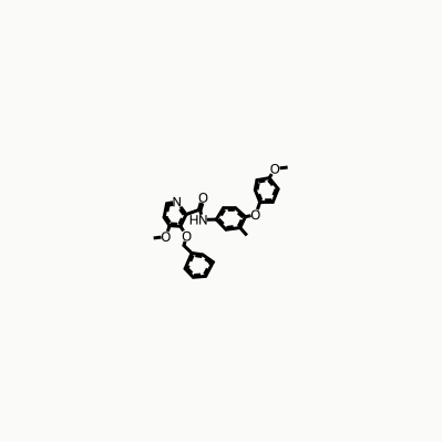 COc1ccc(Oc2ccc(NC(=O)c3nccc(OC)c3OCc3ccccc3)cc2C)cc1